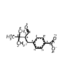 CC(C)(C)C(C=O)Cc1ccc([N+](=O)[O-])cc1